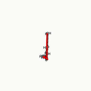 CC(=O)N(CC(=O)N[C@H](CO)C(=O)O)OCCOCCNC(=O)COCCOCCNC(=O)CCCCCCCCCCCCCCCCCCC(=O)O